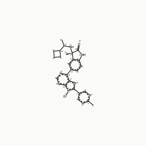 CCn1c(-c2cnc(C)nc2)nc2c(-c3ccc4c(c3)[C@](C)(NC(C)C3CCC3)C(=O)N4)ncnc21